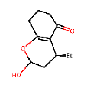 CC[C@H]1CC(O)OC2=C1C(=O)CCC2